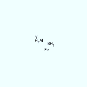 B.[AlH3].[Fe].[Y]